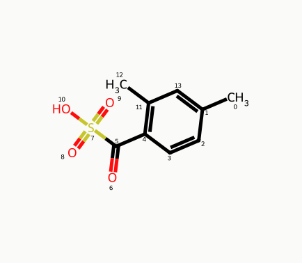 Cc1ccc(C(=O)S(=O)(=O)O)c(C)c1